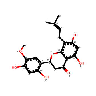 COc1cc([C@@H]2CC(=O)c3c(O)cc(O)c(CC=C(C)C)c3O2)c(O)cc1O